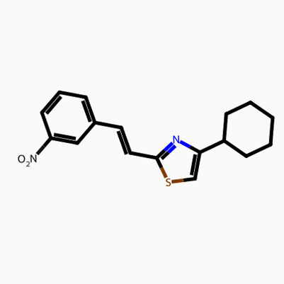 O=[N+]([O-])c1cccc(C=Cc2nc(C3CCCCC3)cs2)c1